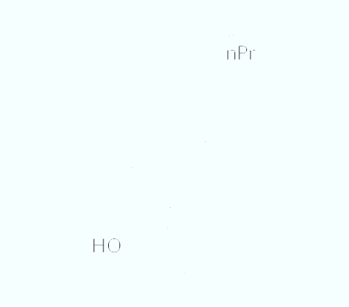 C[CH]CC=CCC(C)(C)O